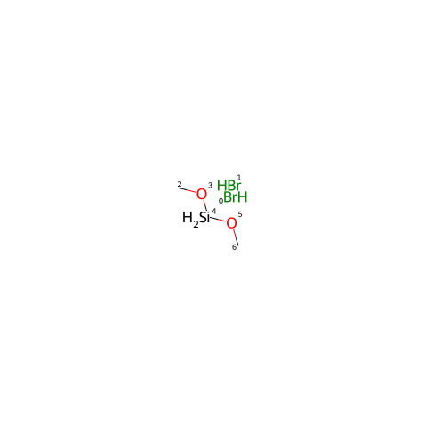 Br.Br.CO[SiH2]OC